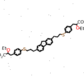 CCOC(Cc1ccc(SCCCc2ccc3c(c2)Cc2cc(CCCSc4ccc(CC(OCC)C(=O)O)cc4)ccc2-3)cc1)C(=O)O